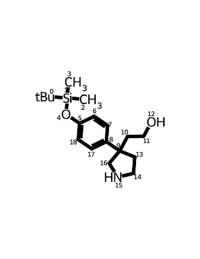 CC(C)(C)[Si](C)(C)Oc1ccc(C2(CCO)CCNC2)cc1